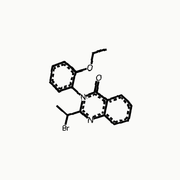 CCOc1ccccc1-n1c(C(C)Br)nc2ccccc2c1=O